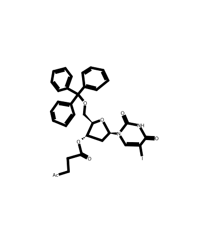 CC(=O)CCC(=O)O[C@H]1C[C@H](n2cc(I)c(=O)[nH]c2=O)O[C@@H]1COC(c1ccccc1)(c1ccccc1)c1ccccc1